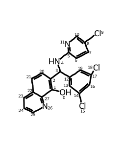 Oc1c(C(Nc2ccc(Cl)cn2)c2cc(Cl)cc(Cl)c2)ccc2cccnc12